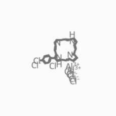 Clc1ccc(-c2cc3cc4nc(cc5ccc(cc6nc(cc2[nH]3)C=C6)[nH]5)C=C4)c(Cl)c1.[Al+3].[Al+3].[Cl-].[Cl-].[Cl-].[Cl-].[Cl-].[Cl-]